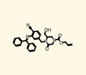 C=CCOC(=O)N1CC(=O)N(Cc2ccc(C#N)c(N=C(c3ccccc3)c3ccccc3)c2)C(CO)C1